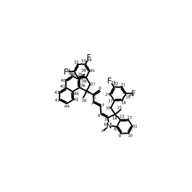 C=C(/C=C/C=C1/N(C)c2ccccc2C1(C)Cc1cc(F)cc(F)c1)C(C)(Cc1cc(F)cc(F)c1)c1c(C)ccc2ccccc12